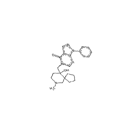 CN1CCC(O)(Cn2cnc3c(cnn3-c3ccccc3)c2=O)C2(CCCC2)C1